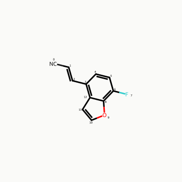 N#C/C=C/c1ccc(F)c2occc12